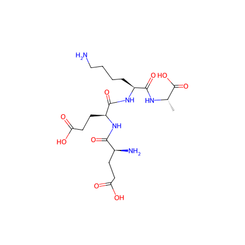 C[C@H](NC(=O)[C@H](CCCCN)NC(=O)[C@H](CCC(=O)O)NC(=O)[C@@H](N)CCC(=O)O)C(=O)O